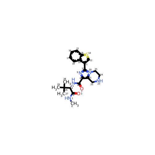 CNC(=O)[C@@H](NC(=O)c1nc(-c2csc3ccccc23)n2c1CNCC2)C(C)(C)C